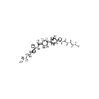 CCCCCCCOc1cnc(-c2ccc(C(C)CC(=O)OCCCCCC)cc2)nc1